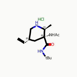 C=C[C@@H]1CN[C@@H](C)[C@@](NC(C)=O)(C(=O)NC(C)(C)C)C1.Cl